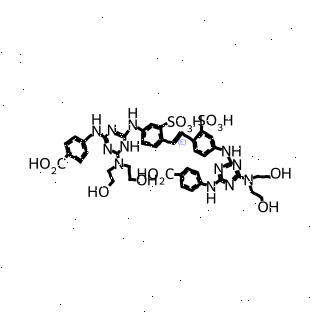 O=C(O)c1ccc(NC2=NC(N(CCO)CCO)NC(Nc3ccc(/C=C/c4ccc(Nc5nc(Nc6ccc(C(=O)O)cc6)nc(N(CCO)CCO)n5)cc4S(=O)(=O)O)c(S(=O)(=O)O)c3)=N2)cc1